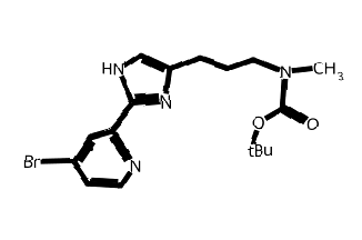 CN(CCCc1c[nH]c(-c2cc(Br)ccn2)n1)C(=O)OC(C)(C)C